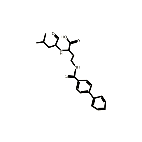 CC(C)CC(C=O)NC(CCNC(=O)c1ccc(-c2ccccc2)cc1)C(=O)O